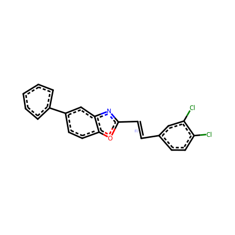 Clc1ccc(/C=C/c2nc3cc(-c4ccccc4)ccc3o2)cc1Cl